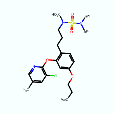 CCCN(CCC)S(=O)(=O)N(CCCc1ccc(OCCOC)cc1Oc1ncc(C(F)(F)F)cc1Cl)C(=O)O